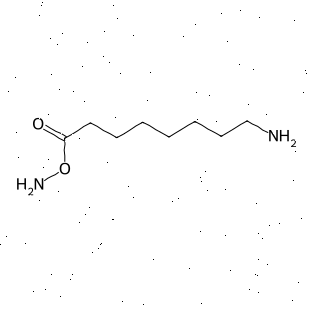 NCCCCCCCC(=O)ON